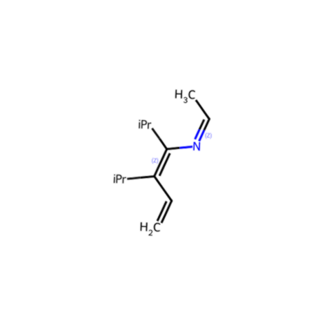 C=C/C(=C(\N=C/C)C(C)C)C(C)C